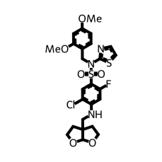 COc1ccc(CN(c2nccs2)S(=O)(=O)c2cc(Cl)c(NCC34CCOC3OCC4)cc2F)c(OC)c1